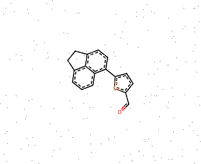 O=Cc1ccc(-c2ccc3c4c(cccc24)CC3)s1